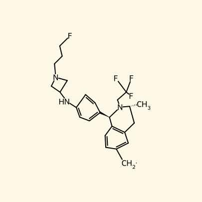 [CH2]c1ccc2c(c1)C[C@@H](C)N(CC(F)(F)F)[C@@H]2c1ccc(NC2CN(CCCF)C2)cc1